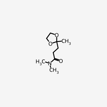 CN(C)C(=O)CCC1(C)OCCO1